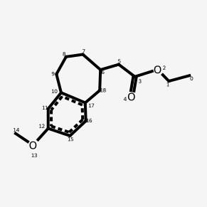 CCOC(=O)CC1CCCc2cc(OC)ccc2C1